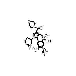 O=C(O)N1CCCC(n2nc(C(=O)N3CCOCC3)c3c2-c2ccc(OC(F)(F)F)cc2S(O)(O)C3)C1